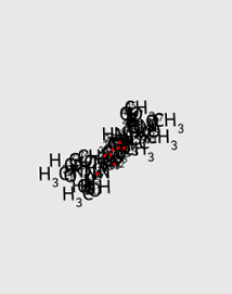 COC(=O)NC(C(=O)N1CN(S(C)(=O)=O)C[C@H]1c1nc2cc(-c3cc4ccc3CCc3ccc(c(-c5ccc6[nH]c([C@@H]7CN(S(C)(=O)=O)CN7C(=O)C(NC(=O)OC)C(C)C)nc6c5)c3)C[C@H]4C)ccc2[nH]1)C(C)C